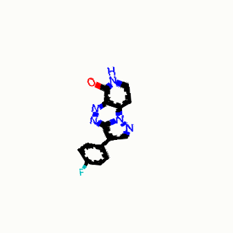 O=c1[nH]ccc2c1nnc1c(-c3ccc(F)cc3)cnn12